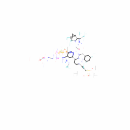 CC(C)(C#Cc1ccc(-c2ccc(Cl)c3c(N(C(=O)NCCNC(=O)C(=O)O)S(C)(=O)=O)nn(CC(F)(F)F)c23)c(C(Cc2cc(F)cc(F)c2)NC(=O)Cn2nc(C(F)(F)F)c3c2C(F)(F)[C@@H]2C[C@H]32)n1)S(C)(=O)=O